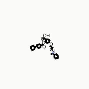 C/C(=N\OCCOc1ccc(C(=O)O)c(OC(=O)c2ccc(-c3ccccc3)cc2)c1)c1ccccc1